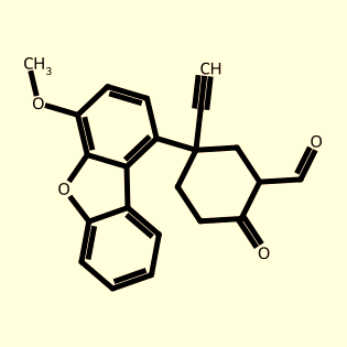 C#CC1(c2ccc(OC)c3oc4ccccc4c23)CCC(=O)C(C=O)C1